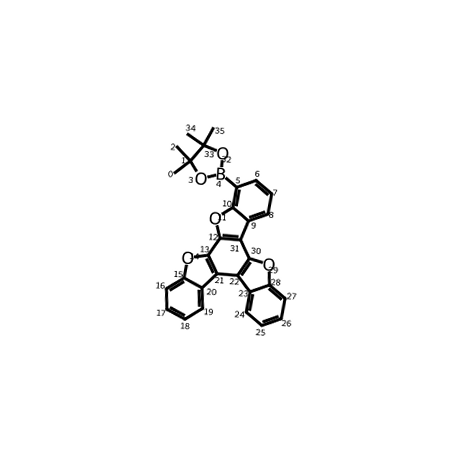 CC1(C)OB(c2cccc3c2oc2c4oc5ccccc5c4c4c5ccccc5oc4c32)OC1(C)C